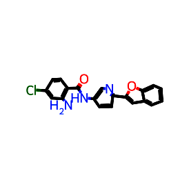 Nc1cc(Cl)ccc1C(=O)Nc1ccc(-c2cc3ccccc3o2)nc1